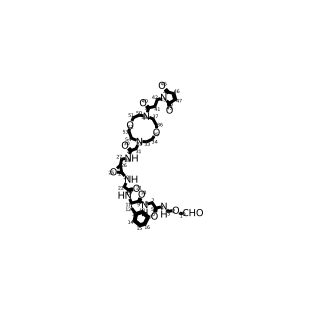 O=CCOCNC(=O)CNC(=O)[C@H](Cc1ccccc1)NC(=O)CNC1OC1CNC(=O)CN1CCOCCN(C(=O)CCN2C(=O)C=CC2=O)CCOCC1